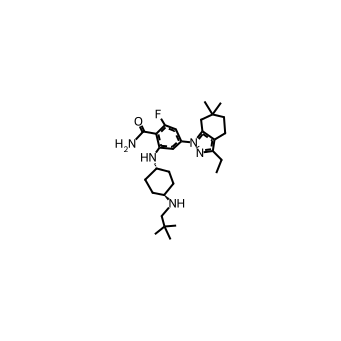 CCc1nn(-c2cc(F)c(C(N)=O)c(N[C@H]3CC[C@H](NCC(C)(C)C)CC3)c2)c2c1CCC(C)(C)C2